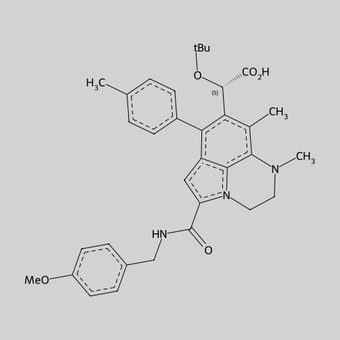 COc1ccc(CNC(=O)c2cc3c(-c4ccc(C)cc4)c([C@H](OC(C)(C)C)C(=O)O)c(C)c4c3n2CCN4C)cc1